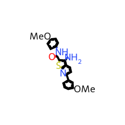 COc1ccc(NC(=O)c2sc3nc(-c4cccc(OC)c4)ccc3c2N)cc1